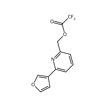 O=C(OCc1cccc(-c2ccoc2)n1)C(F)(F)F